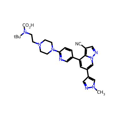 Cn1cc(-c2cc(-c3ccc(N4CCN(CCN(C(=O)O)C(C)(C)C)CC4)nc3)c3c(C#N)cnn3c2)cn1